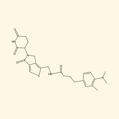 Cc1cc(CCCC(=O)NCc2scc3c2CN(C2CCC(=O)NC2=O)C3=O)ccc1N(C)C